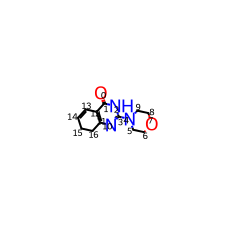 O=c1[nH]c(N2CCOCC2)nc2c1C=CCC2